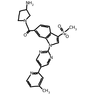 Cc1ccnc(-c2cnc(-n3cc(S(C)(=O)=O)c4ccc(C(=O)N5CCC(N)C5)cc43)nc2)c1